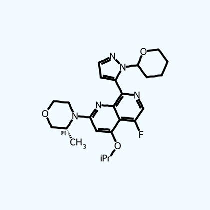 CC(C)Oc1cc(N2CCOC[C@H]2C)nc2c(-c3ccnn3C3CCCCO3)ncc(F)c12